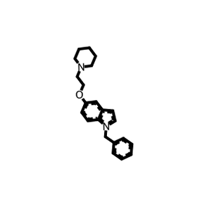 c1ccc(Cn2ccc3cc(OCCN4CCCCC4)ccc32)cc1